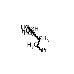 CC(=CCCCOC[C@H](O)[C@@H](O)[C@H](O)CO)CCCC(C)CCCC(C)C